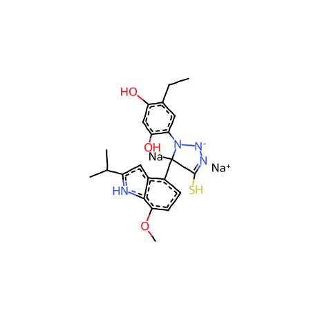 CCc1cc(N2[N-]N=C(S)[C]2([Na])c2ccc(OC)c3[nH]c(C(C)C)cc23)c(O)cc1O.[Na+]